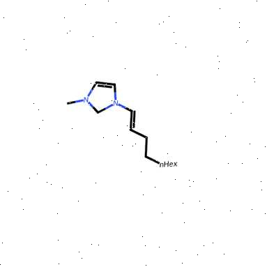 CCCCCCCCC=CN1C=CN(C)C1